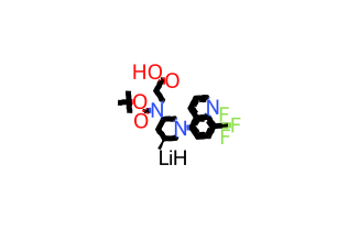 C[C@H]1C[C@@H](N(CCC(=O)O)C(=O)OC(C)(C)C)CN(c2ccc(C(F)(F)F)c3ncccc23)C1.[LiH]